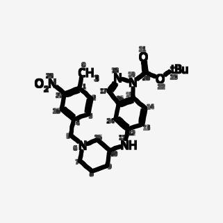 Cc1ccc(CN2CCCC(Nc3ccc4c(cnn4C(=O)OC(C)(C)C)c3)C2)cc1[N+](=O)[O-]